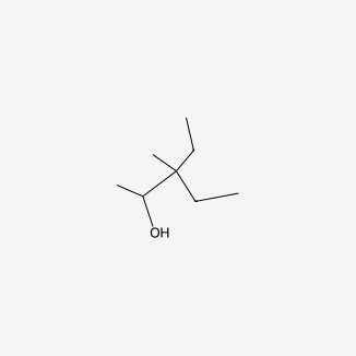 CCC(C)(CC)C(C)O